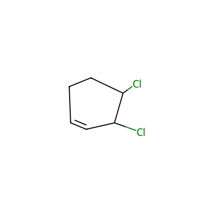 ClC1C=CCCC1Cl